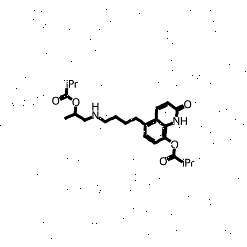 CC(CNCCCCc1ccc(OC(=O)C(C)C)c2[nH]c(=O)ccc12)OC(=O)C(C)C